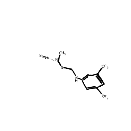 CCCCCCC[C@H](C)SCNc1cc(C(F)(F)F)cc(C(F)(F)F)c1